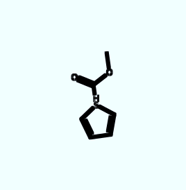 COC(=O)[SH]1C=CC=C1